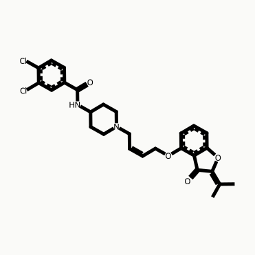 CC(C)=C1Oc2cccc(OC/C=C\CN3CCC(NC(=O)c4ccc(Cl)c(Cl)c4)CC3)c2C1=O